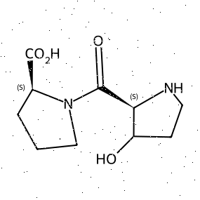 O=C(O)[C@@H]1CCCN1C(=O)[C@H]1NCCC1O